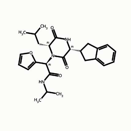 CC(C)C[C@@H]1C(=O)N[C@H](C2Cc3ccccc3C2)C(=O)N1[C@@H](C(=O)NC(C)C)c1ccco1